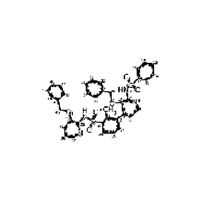 Cc1c(-c2ccnc(NS(=O)(=O)c3ccccc3)c2OCc2ccccc2)cccc1S(=O)(=O)Nc1ncccc1OCc1ccccc1